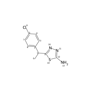 CC(c1ccc(Cl)cc1)c1nnc(N)s1